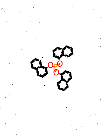 c1ccc2c(OP(Oc3cccc4ccccc34)Oc3cccc4ccccc34)cccc2c1